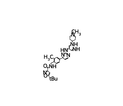 Cc1cc(-c2ccnc(N/C(C=N)=C/NC3CCN(C)CC3)n2)ccc1CNC(=O)c1cc(C(C)(C)C)on1